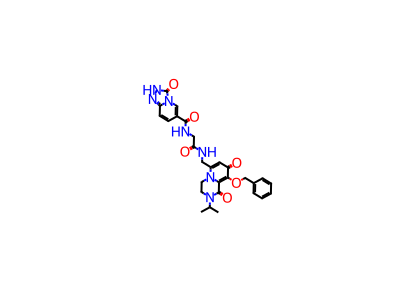 CC(C)N1CCn2c(CNC(=O)CNC(=O)c3ccc4n[nH]c(=O)n4c3)cc(=O)c(OCc3ccccc3)c2C1=O